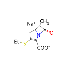 CCSC1=C(C(=O)[O-])N2C(=O)[C@@H](C)C2C1.[Na+]